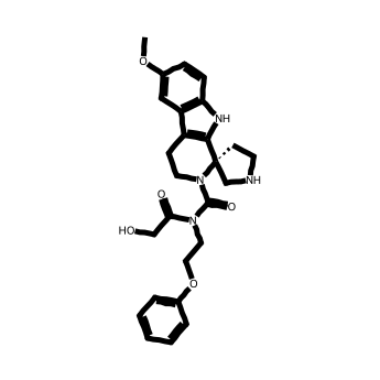 COc1ccc2[nH]c3c(c2c1)CCN(C(=O)N(CCOc1ccccc1)C(=O)CO)[C@@]31CCNC1